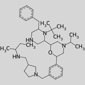 CCC(C)NCC1CCN(Cc2cccc(C3CN(C(C)C)CC(C4CNCC(Cc5ccccc5)N4C(C)(C)C)O3)c2)C1